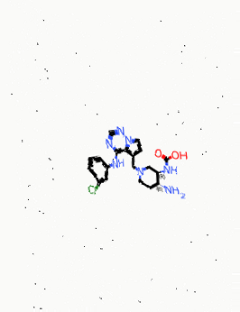 N[C@@H]1CCN(Cc2ccn3ncnc(Nc4cccc(Cl)c4)c23)C[C@H]1NC(=O)O